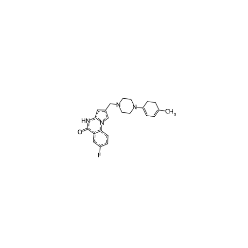 CC1=CC=C(N2CCN(Cc3cc4[nH]c(=O)c5cc(F)ccc5n4c3)CC2)CC1